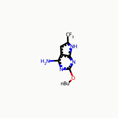 CCCCOc1nc(N)c2cc(C(F)(F)F)[nH]c2n1